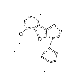 Clc1cccc2c1oc1c(-c3ccccc3)cccc12